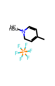 CCCCN1C=CC(C)=CC1.F[P-](F)(F)(F)(F)F.[H+]